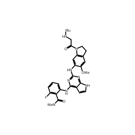 CNC(=O)c1c(F)cccc1Nc1nc(Nc2cc3c(cc2OC)CCN3C(=O)CNC(C)(C)C)nc2[nH]ccc12